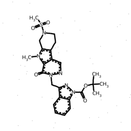 Cn1c2c(c3cnn(Cc4nn(C(=O)OC(C)(C)C)c5ccccc45)c(=O)c31)CCN(S(C)(=O)=O)C2